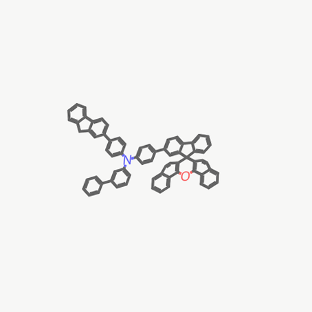 c1ccc(-c2cccc(N(c3ccc(-c4ccc5c(c4)Cc4ccccc4-5)cc3)c3ccc(-c4ccc5c(c4)C4(c6ccccc6-5)c5ccc6ccccc6c5Oc5c4ccc4ccccc54)cc3)c2)cc1